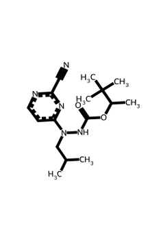 CC(C)CN(NC(=O)OC(C)C(C)(C)C)c1ccnc(C#N)n1